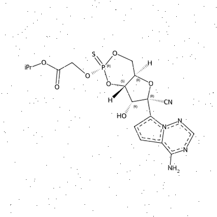 CC(C)OC(=O)CO[P@]1(=S)OC[C@H]2O[C@@](C#N)(c3ccc4c(N)ncnn34)[C@H](O)[C@@H]2O1